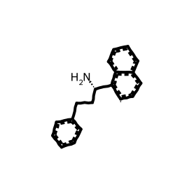 N[C@@H](CCc1ccccc1)c1[c]ccc2ccccc12